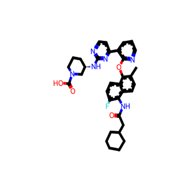 Cc1ccc2c(NC(=O)CC3CCCCC3)c(F)ccc2c1Oc1ncccc1-c1ccnc(N[C@H]2CCCN(C(=O)O)C2)n1